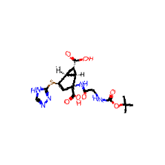 CC(C)(C)OC(=O)NCC(=O)N[C@@]1(C(=O)O)C[C@@H](Sc2nnc[nH]2)[C@H]2[C@H](C(=O)O)[C@H]21